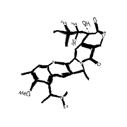 [2H]C(C)(C)C([2H])([2H])[C@@]1(O)C(=O)OCc2c1cc1n(c2=O)C(C)c2cc3c(C(C)N(C)CC)c(OC)c(C)cc3nc2-1